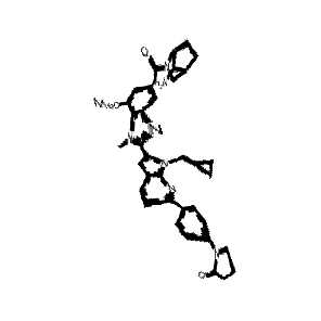 COc1cc(C(=O)N2CC3CCC2C3N)cc2nc(-c3cc4ccc(-c5ccc(N6CCCC6=O)cc5)nc4n3CC3CC3)n(C)c12